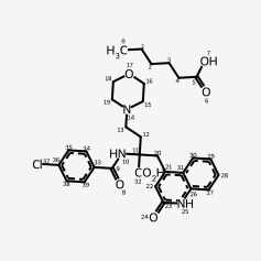 CCCCCC(=O)O.O=C(NC(CCN1CCOCC1)(Cc1cc(=O)[nH]c2ccccc12)C(=O)O)c1ccc(Cl)cc1